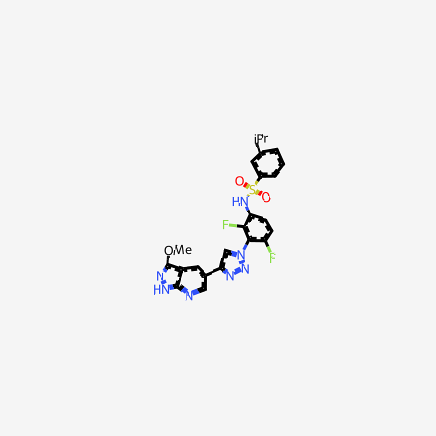 COc1n[nH]c2ncc(-c3cn(-c4c(F)ccc(NS(=O)(=O)c5cccc(C(C)C)c5)c4F)nn3)cc12